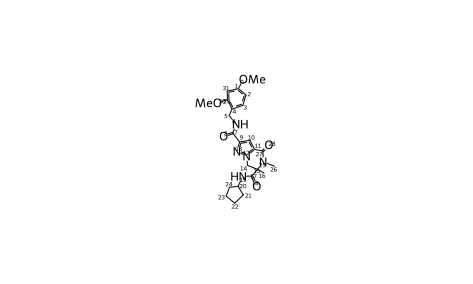 COc1ccc(CNC(=O)c2cc3n(n2)CC(C)(C(=O)NC2CCCC2)N(C)C3=O)c(OC)c1